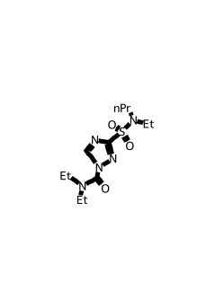 CCCN(CC)S(=O)(=O)c1ncn(C(=O)N(CC)CC)n1